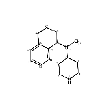 CN(C1CCNCC1)C1CCCc2ccccc21